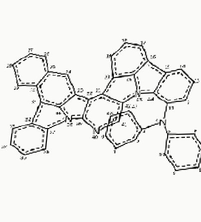 c1ccc(N(c2ccccc2)c2cccc3c4cccc5c6c7c8cc9ccccc9c9c%10ccccc%10n(c7ncc6n(c23)c45)c89)cc1